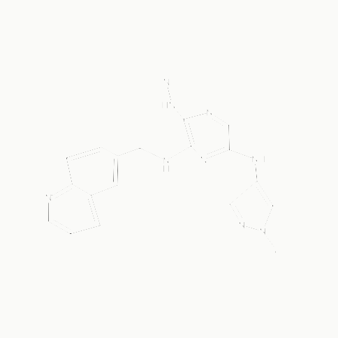 Cn1cc(Nc2cnc(NN)c(NCc3ccc4ncccc4c3)n2)cn1